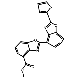 COC(=O)c1cccc2oc(-c3cccc4oc(-c5cccs5)nc34)nc12